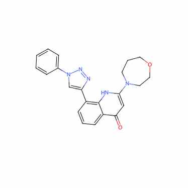 O=c1cc(N2CCCOCC2)[nH]c2c(-c3cn(-c4ccccc4)nn3)cccc12